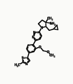 COCOc1cc(-c2cnc(C)s2)ccc1-c1ccc(N2CCC(C)(N)C2CC2CC2)nn1